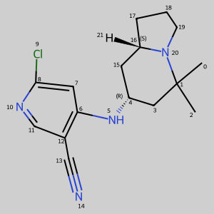 CC1(C)C[C@H](Nc2cc(Cl)ncc2C#N)C[C@@H]2CCCN21